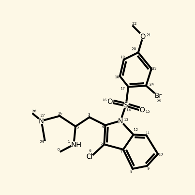 CNC(Cc1c(Cl)c2ccccc2n1S(=O)(=O)c1ccc(OC)cc1Br)CN(C)C